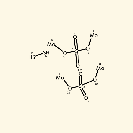 O=S(=O)([O][Mo])[O][Mo].O=S(=O)([O][Mo])[O][Mo].SS